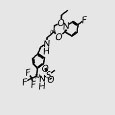 CCOC[C@H](CNCc1ccc([C@H](NS(C)(=O)=O)C(F)(F)F)cc1)Oc1ccc(F)cn1